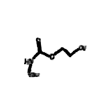 CC(C)(C)NC(=O)OCCC#N